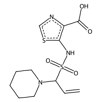 C=CC(N1CCCCC1)S(=O)(=O)Nc1scnc1C(=O)O